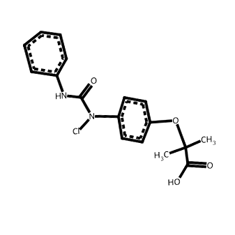 CC(C)(Oc1ccc(N(Cl)C(=O)Nc2ccccc2)cc1)C(=O)O